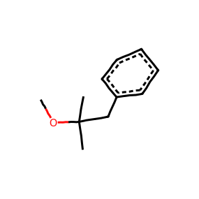 COC(C)(C)Cc1ccccc1